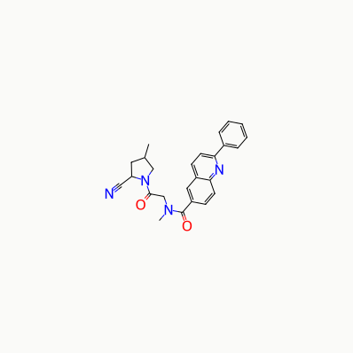 CC1CC(C#N)N(C(=O)CN(C)C(=O)c2ccc3nc(-c4ccccc4)ccc3c2)C1